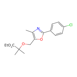 CCOC(=O)C(C)(C)OCc1oc(-c2ccc(Cl)cc2)nc1C